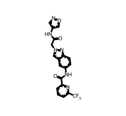 O=C(Cn1cc2cc(NC(=O)c3cccc(C(F)(F)F)n3)ccc2n1)Nc1cnoc1